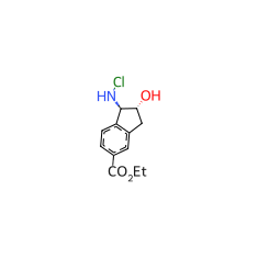 CCOC(=O)c1ccc2c(c1)C[C@@H](O)[C@@H]2NCl